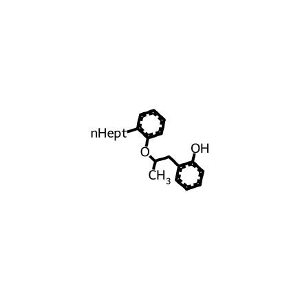 CCCCCCCc1ccccc1OC(C)Cc1ccccc1O